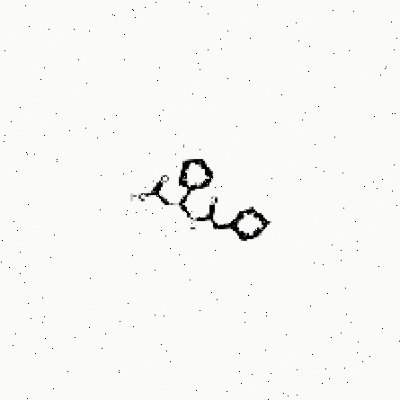 O=C(O)C[C@@H](NC(=O)Cc1ccccc1)c1ccccc1